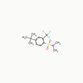 CN(C)S(=O)(=O)c1ccc(C(C)(C)C)cc1C(F)(F)F